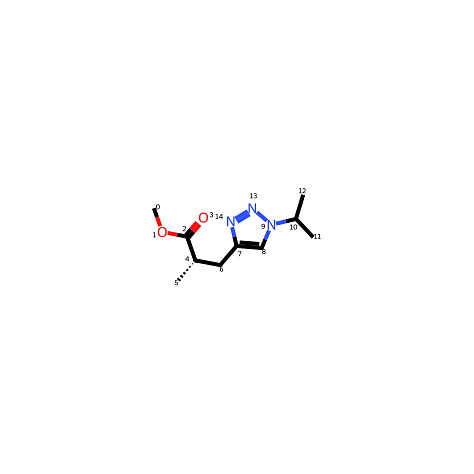 COC(=O)[C@@H](C)Cc1cn(C(C)C)nn1